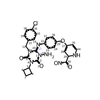 Nn1c(=O)n(C2CCC2)c(=O)n(Cc2ccc(Cl)cc2)/c1=N/c1ccc(OC2=CC(C(=O)N=O)NC=C2)cc1